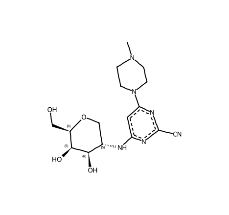 CN1CCN(c2cc(N[C@H]3CO[C@H](CO)[C@H](O)[C@@H]3O)nc(C#N)n2)CC1